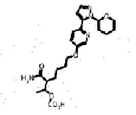 CC(OC(=O)O)C(CCCCOc1ccc(-c2ccnn2C2CCCCO2)nc1)C(N)=O